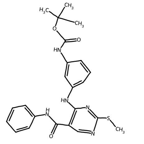 CSc1ncc(C(=O)Nc2ccccc2)c(Nc2cccc(NC(=O)OC(C)(C)C)c2)n1